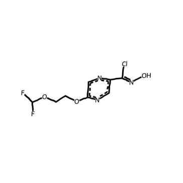 O/N=C(\Cl)c1cnc(OCCOC(F)F)cn1